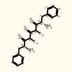 N[C@@H](Cc1ccccc1)C(=O)C(F)C(=O)C(F)C(=O)[C@@H](N)Cc1ccccc1